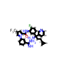 N=C(N)c1cccc(-n2cc(C(F)(F)F)cc2C(=O)Nc2cc(C(N)(CCC3CC3)c3cccnc3)ccc2F)c1